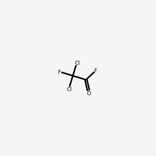 O=C(F)C(F)(Cl)Cl